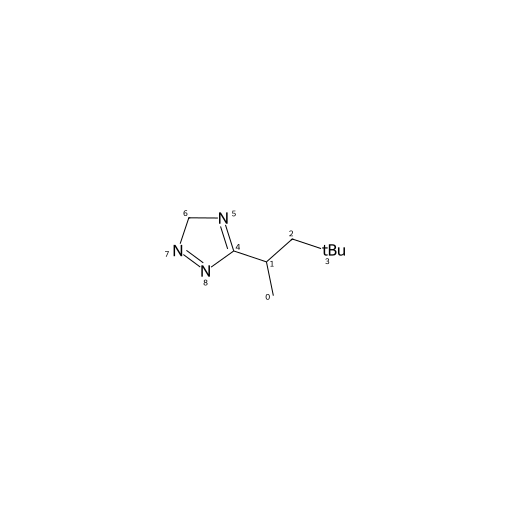 CC(CC(C)(C)C)C1=NCN=N1